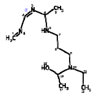 C=N/C=N\C(C)NCCCN(CC)C(C)O